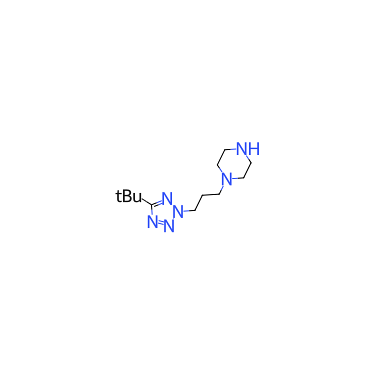 CC(C)(C)c1nnn(CCCN2CCNCC2)n1